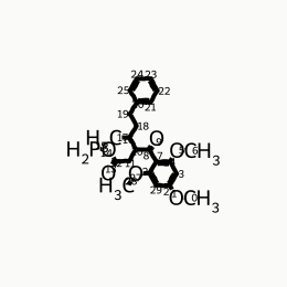 COc1cc(OC)c(C(=O)C(CC(=O)OP)C(C)CCc2ccccc2)c(OC)c1